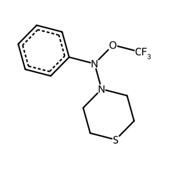 FC(F)(F)ON(c1ccccc1)N1CCSCC1